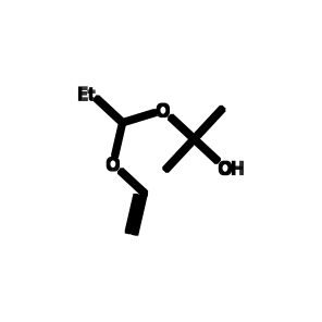 C=COC(CC)OC(C)(C)O